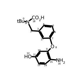 CC(C)(C)N(Cc1cccc(Oc2cc(O)ccc2N)c1)C(=O)O